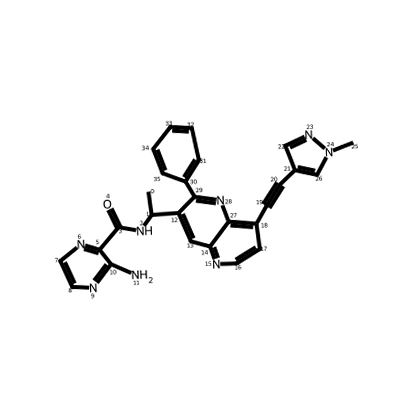 CC(NC(=O)c1nccnc1N)c1cc2nccc(C#Cc3cnn(C)c3)c2nc1-c1ccccc1